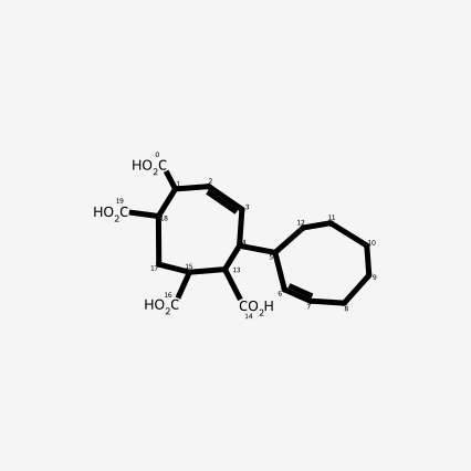 O=C(O)C1C=CC(C2C=CCCCCC2)C(C(=O)O)C(C(=O)O)CC1C(=O)O